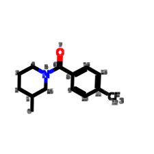 CC1CCCN(C(=O)c2ccc(C(F)(F)F)cc2)C1